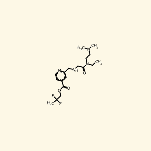 CCN(CCN(C)C)C(=O)CNCc1cc(C(=O)OCC(C)(F)F)ccn1